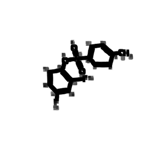 Cc1ccc(S(=O)(=O)Oc2ccc(F)cc2F)cc1